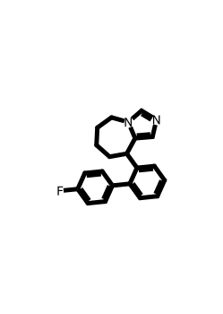 Fc1ccc(-c2ccccc2C2CCCCn3cncc32)cc1